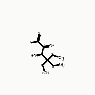 C=C(C)C(=O)C(O)C(CO)(CO)CO